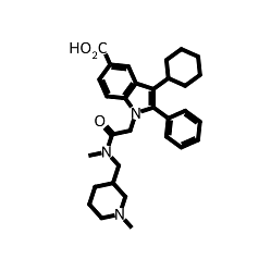 CN1CCCC(CN(C)C(=O)Cn2c(-c3ccccc3)c(C3CCCCC3)c3cc(C(=O)O)ccc32)C1